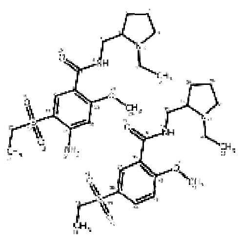 CCN1CCCC1CNC(=O)c1cc(S(=O)(=O)CC)c(N)cc1OC.CCN1CCCC1CNC(=O)c1cc(S(=O)(=O)CC)ccc1OC